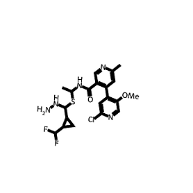 COc1cnc(Cl)cc1-c1cc(C)ncc1C(=O)NC(C)SC(NN)C1CC1C(F)F